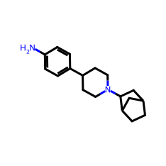 Nc1ccc(C2CCN(C3CC4CCC3C4)CC2)cc1